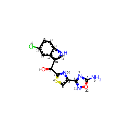 Nc1nc(-c2csc(C(=O)c3c[nH]c4ccc(Cl)cc34)n2)no1